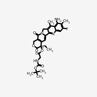 CC[C@@]1(OC(=O)CNC(=O)OC(C)(C)C)C(=O)OCc2c1cc1n(c2=O)Cc2c-1nc1cc(F)c(C)c(N)c1c2C